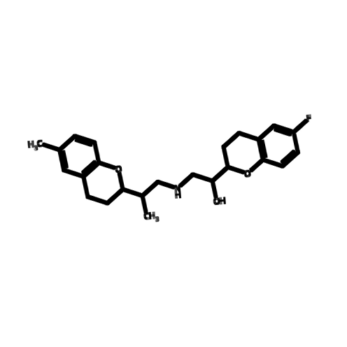 Cc1ccc2c(c1)CCC(C(C)CNCC(O)C1CCc3cc(F)ccc3O1)O2